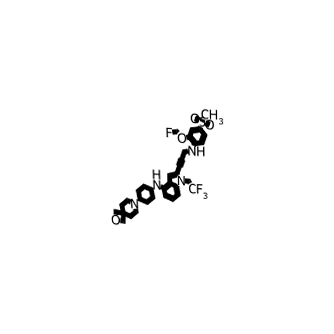 CS(=O)(=O)c1ccc(NCC#Cc2cc3c(N[C@H]4CC[C@@H](N5CCC6(CC5)COC6)CC4)cccc3n2CC(F)(F)F)c(OCF)c1